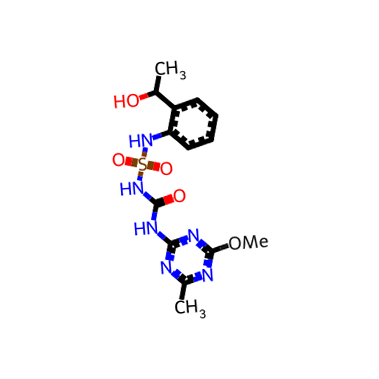 COc1nc(C)nc(NC(=O)NS(=O)(=O)Nc2ccccc2C(C)O)n1